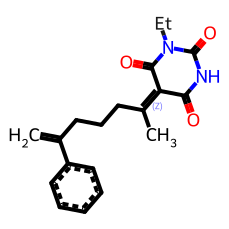 C=C(CCC/C(C)=C1/C(=O)NC(=O)N(CC)C1=O)c1ccccc1